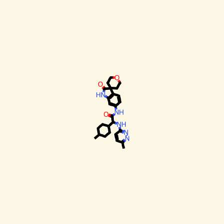 Cc1ccc(NC(C(=O)Nc2ccc3c(c2)NC(=O)C32CCOCC2)C2CCC(C)CC2)nn1